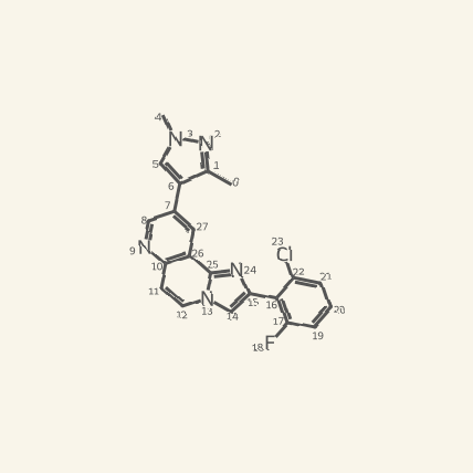 Cc1nn(C)cc1-c1cnc2ccn3cc(-c4c(F)cccc4Cl)nc3c2c1